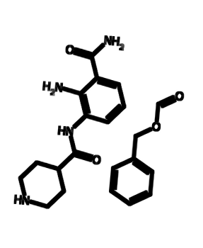 NC(=O)c1cccc(NC(=O)C2CCNCC2)c1N.O=COCc1ccccc1